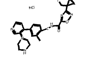 Cc1cc(-c2ccncc2N2CCNCC2)ccc1CNC(=O)c1nc(C2(CF)CC2)no1.Cl